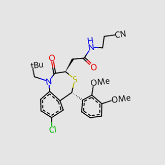 COc1cccc([C@H]2S[C@H](CC(=O)NCCC#N)C(=O)N(CC(C)(C)C)c3ccc(Cl)cc32)c1OC